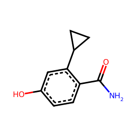 NC(=O)c1ccc(O)cc1C1CC1